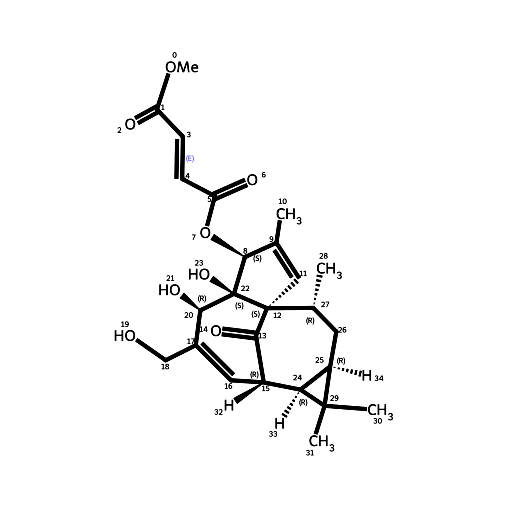 COC(=O)/C=C/C(=O)O[C@H]1C(C)=C[C@]23C(=O)[C@@H](C=C(CO)[C@@H](O)[C@]12O)[C@H]1[C@@H](C[C@H]3C)C1(C)C